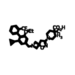 CCOc1cc(CN2CC3(CC(N4CCC(C)(C(=O)O)CC4)=NO3)C2)cc(C2CC2)c1-c1ccccc1C(F)(F)F